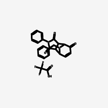 O=C(O)C(F)(F)F.O=C1C=CC2C3C(=O)N(c4ccccc4)C(=O)C3C1N2Cc1ccccc1